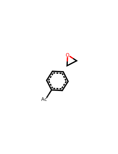 C1CO1.CC(=O)c1ccccc1